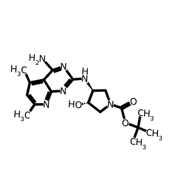 Cc1cc(C)c2c(N)nc(N[C@H]3CN(C(=O)OC(C)(C)C)C[C@@H]3O)nc2n1